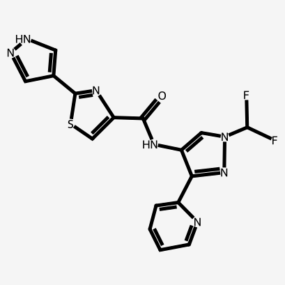 O=C(Nc1cn(C(F)F)nc1-c1ccccn1)c1csc(-c2cn[nH]c2)n1